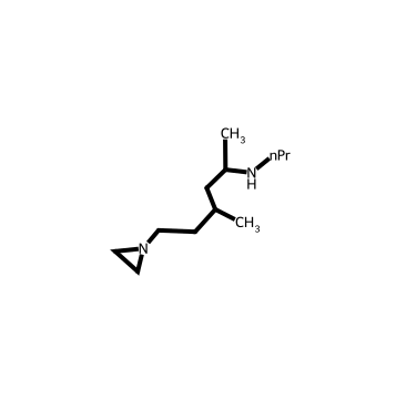 CCCNC(C)CC(C)CCN1CC1